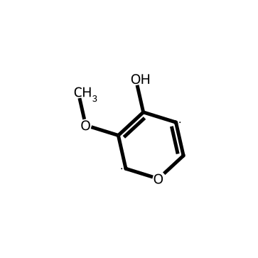 COC1=C(O)[C]=CO[CH]1